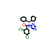 O=C(c1ccc(Cl)cc1Cl)[C@H](C(c1ccccc1)c1ccccc1)n1cncn1